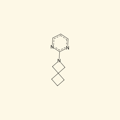 c1cnc(N2CC3(CCC3)C2)nc1